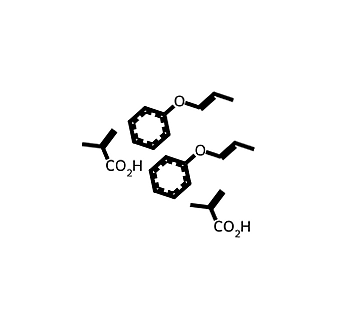 C=C(C)C(=O)O.C=C(C)C(=O)O.CC=COc1ccccc1.CC=COc1ccccc1